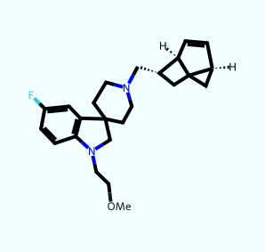 COCCN1CC2(CCN(C[C@H]3CC45C[C@@H]4C=C[C@H]35)CC2)c2cc(F)ccc21